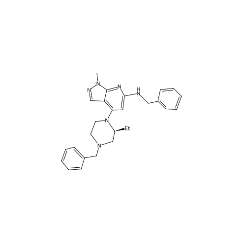 CC[C@H]1CN(Cc2ccccc2)CCN1c1cc(NCc2ccccc2)nc2c1cnn2C